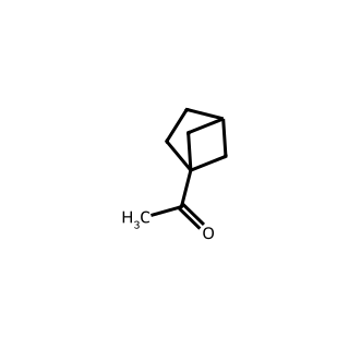 CC(=O)C12CCC(C1)C2